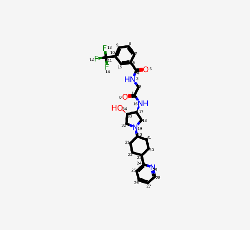 O=C(CNC(=O)c1cccc(C(F)(F)F)c1)N[C@H]1CN(C2CCC(c3ccccn3)CC2)C[C@@H]1O